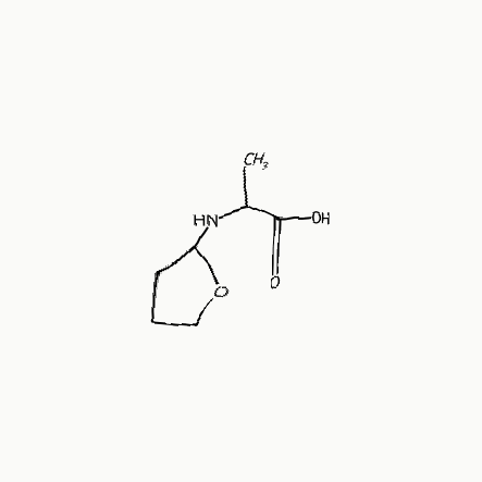 CC(NC1CCCO1)C(=O)O